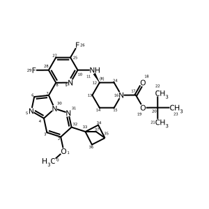 COc1cc2ncc(-c3nc(N[C@@H]4CCCN(C(=O)OC(C)(C)C)C4)c(F)cc3F)n2nc1C12CC(C1)C2